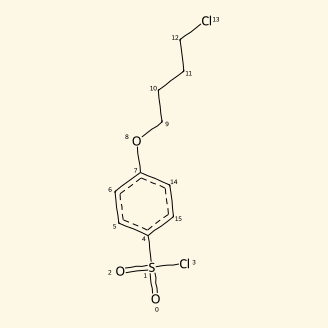 O=S(=O)(Cl)c1ccc(OCCCCCl)cc1